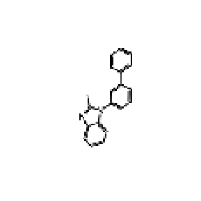 Cc1nc2ccccc2n1-c1cccc(-c2ccccc2)c1